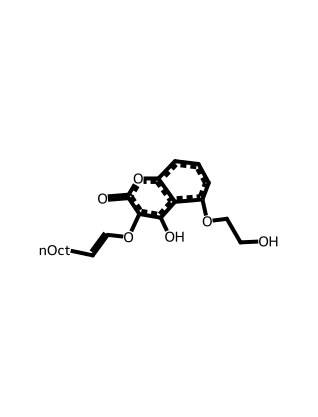 CCCCCCCC/C=C/Oc1c(O)c2c(OCCO)cccc2oc1=O